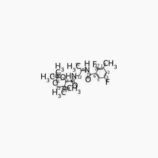 Cc1cc(F)cc(C(=O)N[C@@H](C)CNC(=O)[C@@H]2OC(C)(C)OCC2(C)C)c1F